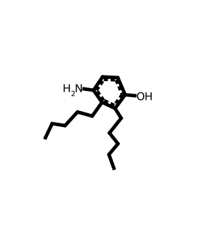 CCCCCc1c(N)ccc(O)c1CCCCC